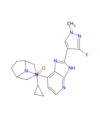 Cn1cc(-c2nc3c(N4CC5CCC(C4)N5C(=O)C4CC4)ccnc3[nH]2)c(F)n1